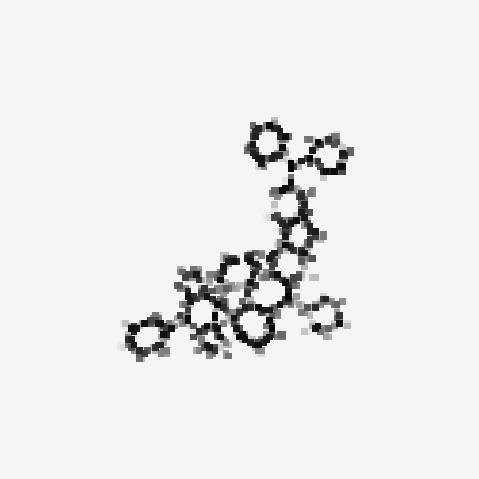 c1ccc(N(c2ccccc2)c2ccc3c(c2)sc2cc(N(c4ccccc4)c4cccc5c4-c4ccccc4C54c5ccccc5N(c5ccccc5)c5ccccc54)ccc23)cc1